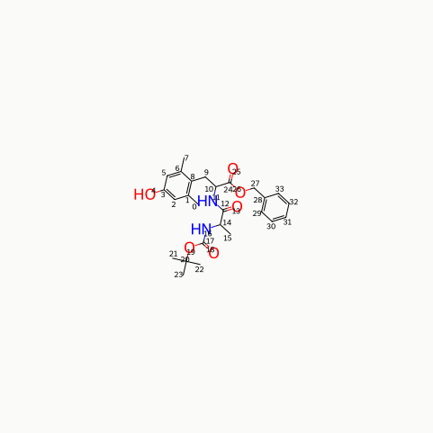 Cc1cc(O)cc(C)c1CC(NC(=O)C(C)NC(=O)OC(C)(C)C)C(=O)OCc1ccccc1